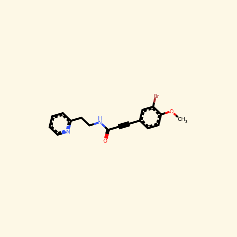 COc1ccc(C#CC(=O)NCCc2ccccn2)cc1Br